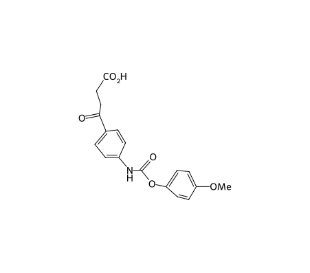 COc1ccc(OC(=O)Nc2ccc(C(=O)CCC(=O)O)cc2)cc1